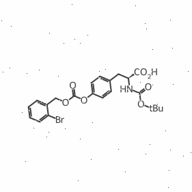 CC(C)(C)OC(=O)N[C@@H](Cc1ccc(OC(=O)OCc2ccccc2Br)cc1)C(=O)O